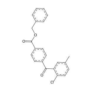 Cc1ccc(Cl)c(C(=O)c2ccc(C(=O)OCc3ccccc3)cc2)c1